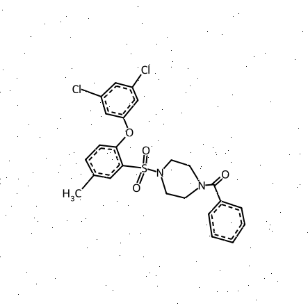 Cc1ccc(Oc2cc(Cl)cc(Cl)c2)c(S(=O)(=O)N2CCN(C(=O)c3ccccc3)CC2)c1